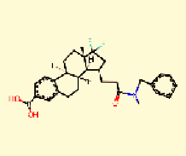 CN(Cc1ccccc1)C(=O)CC[C@@H]1CC(F)(F)[C@@]2(C)CC[C@@H]3c4ccc(B(O)O)cc4CC[C@H]3[C@H]12